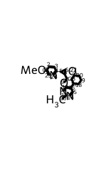 COc1ccc([C@@H]2CC2COc2nc(C)ncc2C2CCCC(=O)C2)nc1